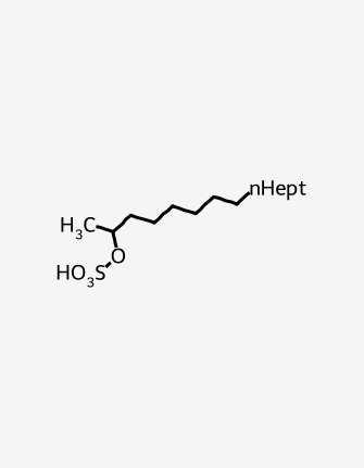 CCCCCCCCCCCCCC(C)OS(=O)(=O)O